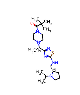 CC(C)N1CCC[C@H]1CNc1nc([C@@H](C)N2CCN(C(=O)C(C)(C)C)CC2)ns1